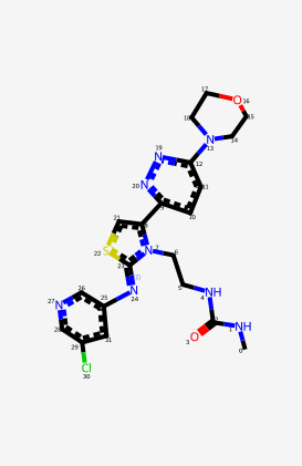 CNC(=O)NCCn1c(-c2ccc(N3CCOCC3)nn2)cs/c1=N\c1cncc(Cl)c1